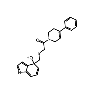 O=C(CSCC1(O)C=CC=C2N=CC=C21)N1CC=C(c2ccccc2)CC1